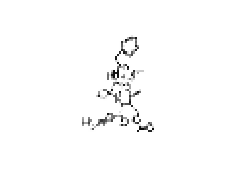 BOC(=O)C1=C(COC(C)=O)[C@H](C)[S+]([O-])[C@@H]2[C@H](NC(=O)Cc3ccccc3)C(=O)N12